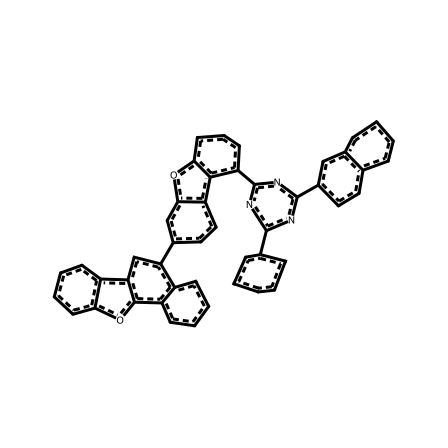 c1ccc(-c2nc(-c3ccc4ccccc4c3)nc(-c3cccc4oc5cc(-c6cc7c8ccccc8oc7c7ccccc67)ccc5c34)n2)cc1